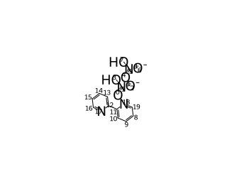 O=[N+]([O-])O.O=[N+]([O-])O.c1ccc(-c2ccccn2)nc1